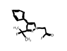 CC(C)(F)c1nn(CC(=O)F)cc1-c1ccccc1